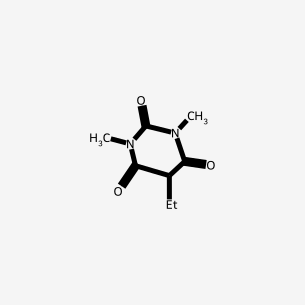 CCC1C(=O)N(C)C(=O)N(C)C1=O